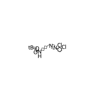 CC(C)(C)OC(=O)NC1CC2(CC(CN3CCN(c4cccc(Cl)c4Cl)CC3)C2)C1